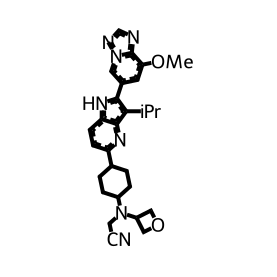 COc1cc(-c2[nH]c3ccc(C4CCC(N(CC#N)C5COC5)CC4)nc3c2C(C)C)cn2ncnc12